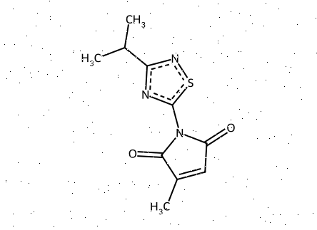 CC1=CC(=O)N(c2nc(C(C)C)ns2)C1=O